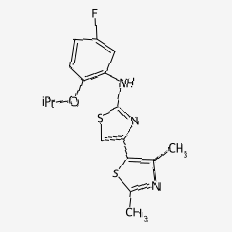 Cc1nc(C)c(-c2csc(Nc3cc(F)ccc3OC(C)C)n2)s1